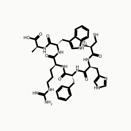 C[C@H](NC(=O)[C@H](Cc1c[nH]c2ccccc12)NC(=O)[C@H](CCCNC(=N)N)NC(=O)[C@@H](Cc1ccccc1)NC(=O)[C@H](Cc1c[nH]cn1)NC(=O)[C@@H](N)CS)C(=O)O